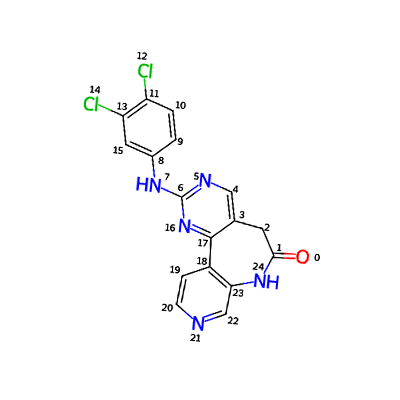 O=C1Cc2cnc(Nc3ccc(Cl)c(Cl)c3)nc2-c2ccncc2N1